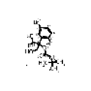 CC(C)(C)NC(=O)OC(CO)(c1cc(Br)ccc1F)C(F)F